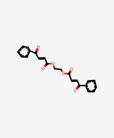 O=C(/C=C/C(=O)c1ccccc1)OCCOC(=O)/C=C/C(=O)c1ccccc1